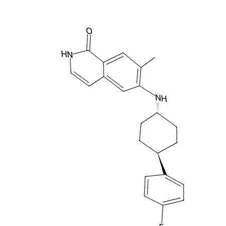 Cc1cc2c(=O)[nH]ccc2cc1N[C@H]1CC[C@H](c2ccc(F)cc2)CC1